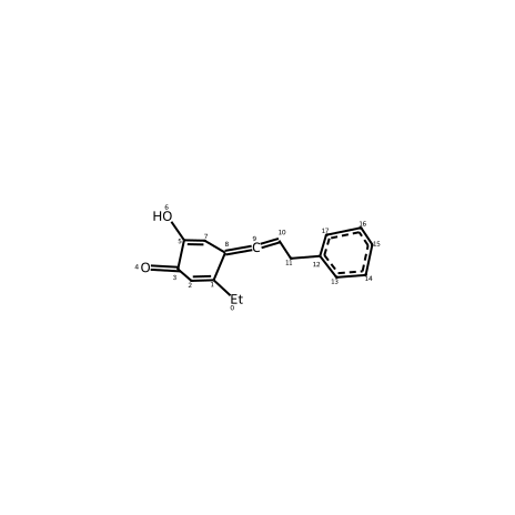 CCC1=CC(=O)C(O)=CC1=C=CCc1ccccc1